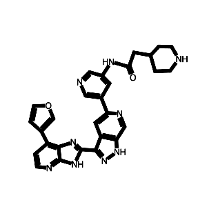 O=C(CC1CCNCC1)Nc1cncc(-c2cc3c(-c4nc5c(-c6ccoc6)ccnc5[nH]4)n[nH]c3cn2)c1